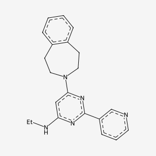 CCNc1cc(N2CCc3ccccc3CC2)nc(-c2cccnc2)n1